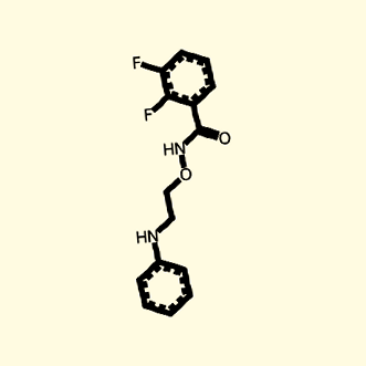 O=C(NOCCNc1ccccc1)c1cccc(F)c1F